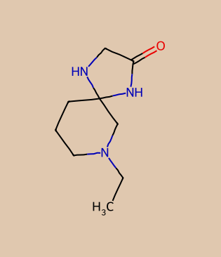 CCN1CCCC2(C1)NCC(=O)N2